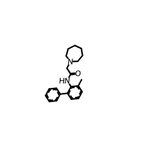 Cc1cccc(-c2ccccc2)c1NC(=O)CN1CCCCCC1